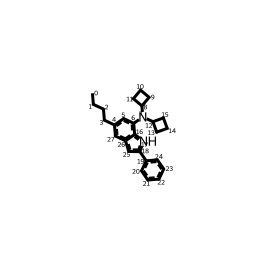 CCCCc1cc(N(C2CCC2)C2CCC2)c2[nH]c(-c3ccccc3)cc2c1